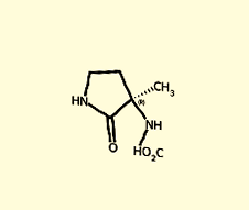 C[C@@]1(NC(=O)O)CCNC1=O